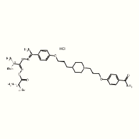 CC[C@H](C)[C@H](N)C(=O)ON=C(ON=C(N)c1ccc(OCCCC2CCN(CCCOc3ccc(C(N)=O)cc3)CC2)cc1)[C@@H](N)[C@@H](C)CC.Cl